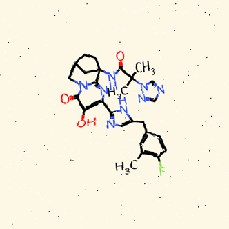 Cc1cc(Cc2cnc(-c3nc4n(c(=O)c3O)CC3CCC4(NC(=O)C(C)(C)n4cncn4)C3)[nH]2)ccc1F